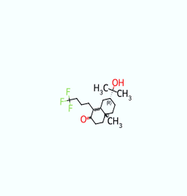 CC(C)(O)[C@@H]1CC[C@]2(C)CCC(=O)C(CCCC(F)(F)F)=C2C1